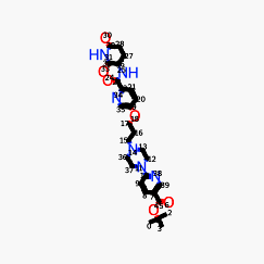 CC(C)(C)OC(=O)c1ccc(N2CCN(CCCOc3ccc(C(=O)N[C@H]4CCC(=O)NC4=O)nc3)CC2)nc1